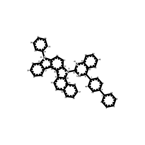 c1ccc(-c2ccc(-c3nc(-n4c5ccc6c(c7ccccc7n6-c6ccccc6)c5c5ccc6ccccc6c54)nc4ccccc34)cc2)cc1